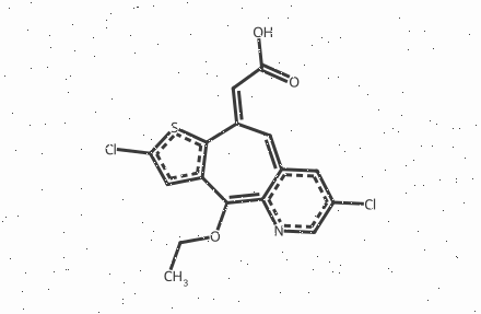 CCOC1=c2ncc(Cl)cc2=CC(=CC(=O)O)c2sc(Cl)cc21